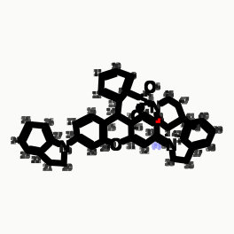 CC1CCN(S(=O)(=O)c2ccccc2C2c3ccc(N4CCc5ccccc54)cc3OC3=C/C(=[N+]4\CCc5ccccc54)C=CC32)CC1